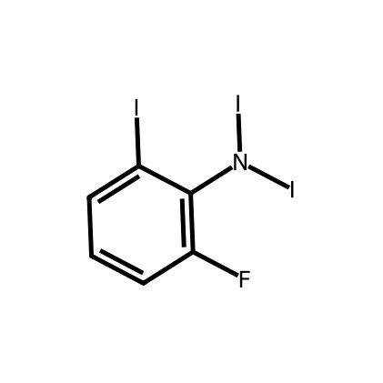 Fc1cccc(I)c1N(I)I